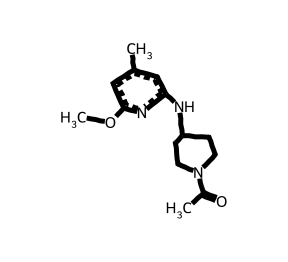 COc1cc(C)cc(NC2CCN(C(C)=O)CC2)n1